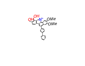 COc1cc2c(-c3ccc(-c4ccccc4)cc3)cc3c4ccc(CO)c(CO)c4c[n+](C)c3c2cc1OC